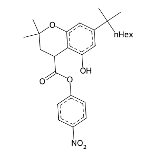 CCCCCCC(C)(C)c1cc(O)c2c(c1)OC(C)(C)CC2C(=O)Oc1ccc([N+](=O)[O-])cc1